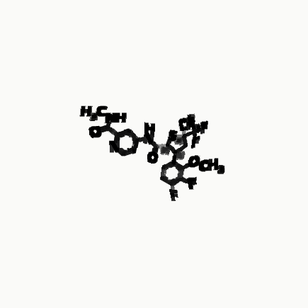 CNC(=O)c1cc(NC(=O)[C@@H]2S[C@@](C)(C(F)(F)F)C[C@H]2c2ccc(F)c(F)c2OC)ccn1